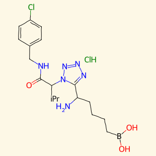 CC(C)C(C(=O)NCc1ccc(Cl)cc1)n1nnnc1C(N)CCCCB(O)O.Cl